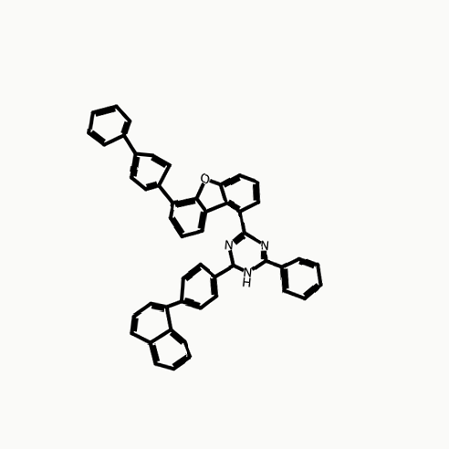 c1ccc(C2=NC(c3cccc4oc5c(-c6ccc(-c7ccccc7)cc6)cccc5c34)=NC(c3ccc(-c4cccc5ccccc45)cc3)N2)cc1